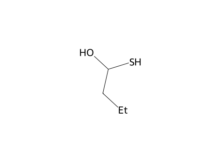 CCCC(O)S